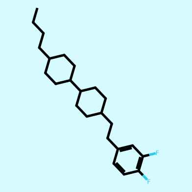 CCCCC1CCC(C2CCC(CCc3ccc(F)c(F)c3)CC2)CC1